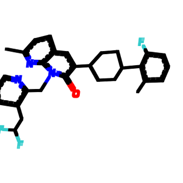 Cc1ccc2cc(C3CCC(c4c(C)cccc4F)CC3)c(=O)n(Cc3ncccc3CC(F)F)c2n1